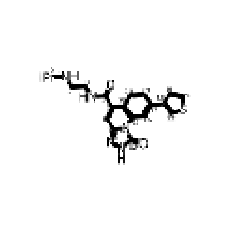 CC(C)NCCNC(=O)c1cc2n[nH]c(=O)n2c2cc(-c3ccsc3)ccc12